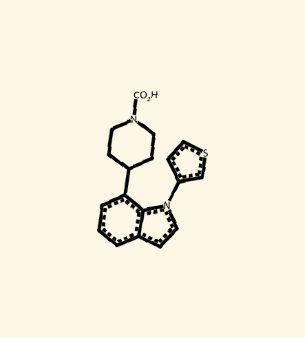 O=C(O)N1CCC(c2cccc3ccn(-c4ccsc4)c23)CC1